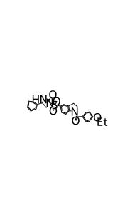 CCOc1ccc(C(=O)N2CCc3cc(S(=O)(=O)N4CC(c5ccccc5)NC4=O)ccc32)cc1